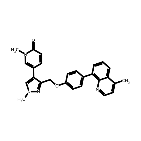 Cc1ccnc2c(-c3ccc(OCc4nn(C)cc4-c4ccc(=O)n(C)c4)cc3)cccc12